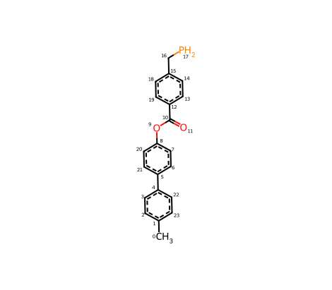 Cc1ccc(-c2ccc(OC(=O)c3ccc(CP)cc3)cc2)cc1